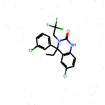 CCC1(c2cccc(Cl)c2)c2cc(Cl)ccc2NC(=O)N1CC(F)(F)F